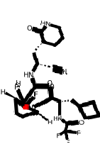 N#C[C@@H](C[C@H]1CCCNC1=O)NC(=O)[C@@H]1[C@H]2CC[C@H](CC2(F)F)N1C(=O)[C@H](CC1CCC1)NC(=O)C(F)(F)F